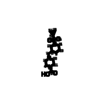 O=C(O)N1CCN(C[C@@H]2CCCN(S(=O)(=O)C3CC3)C2)CC1